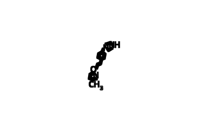 Cc1ccc(OC/C=C/c2ccc(CN3CCNCC3)cc2)nc1